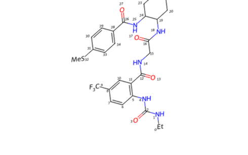 CCNC(=O)Nc1ccc(C(F)(F)F)cc1C(=O)NCC(=O)NC1CCCCC1NC(=O)c1ccc(SC)cc1